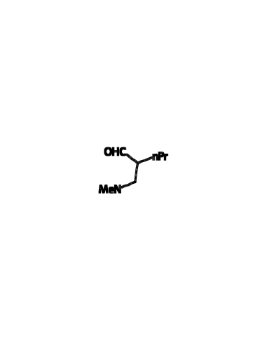 CCCC(C=O)CNC